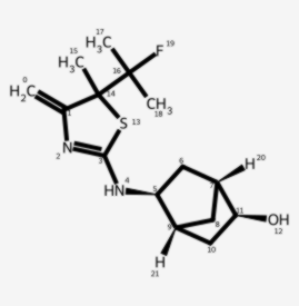 C=C1N=C(N[C@H]2C[C@H]3C[C@@H]2C[C@@H]3O)SC1(C)C(C)(C)F